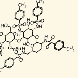 CCCCOC1[C@@H](O[C@@H]2C(O)C(O[C@H]3O[C@H](CNS(=O)(=O)c4ccc(C)cc4)CCC3NS(=O)(=O)c3ccc(C)cc3)[C@@H](NS(=O)(=O)c3ccc(C)cc3)[C@@H](O)C2NS(=O)(=O)c2ccc(C)cc2)OC(CO)[C@@H](O)[C@@H]1N=[N+]=[N-]